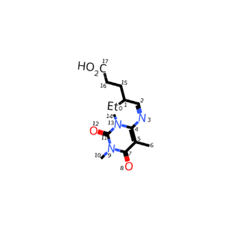 CCC(/C=N\c1c(C)c(=O)n(C)c(=O)n1C)CCC(=O)O